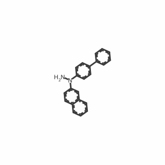 NN(c1ccc(-c2ccccc2)cc1)c1ccc2ccccc2c1